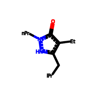 CCCn1[nH]c(CC(C)C)c(CC)c1=O